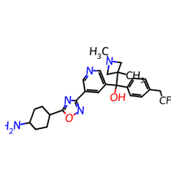 CN1CC(C)(C(O)(c2ccc(CC(F)(F)F)cc2)c2cncc(-c3noc(C4CCC(N)CC4)n3)c2)C1